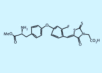 COC(=O)[C@@H](N)Cc1ccc(Oc2ccc(/C=C3\SC(=S)N(CC(=O)O)C3=O)c(F)c2)cc1